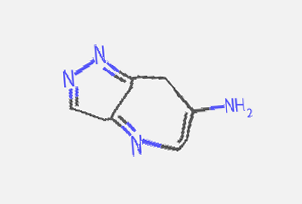 NC1=CN=C2C=NN=C2C1